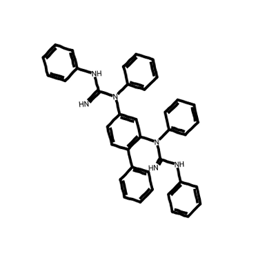 N=C(Nc1ccccc1)N(c1ccccc1)c1ccc(-c2ccccc2)c(N(C(=N)Nc2ccccc2)c2ccccc2)c1